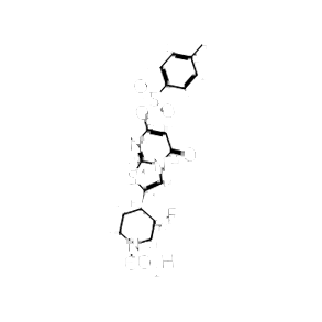 Cc1ccc(S(=O)(=O)Oc2cc(=O)n3cc([C@@H]4CCN(C(=O)O)C[C@H]4F)sc3n2)cc1